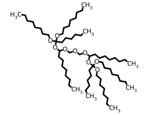 CCCCCCCCOC(CCCCCC)(OCCCCCCCC)OC(CCCCCCCC)OCOCOC(CCCCCCCC)OC(CCCCCC)(OCCCCCCCC)OCCCCCCCC